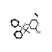 C=C[C@H]1C[C@H](O[Si](c2ccccc2)(c2ccccc2)C(C)(C)C)CC(O)O1